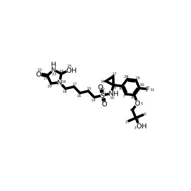 CC(C)(O)COc1cc(C2(NS(=O)(=O)CCCCCN3CC(=O)NC3O)CC2)ccc1F